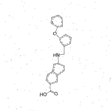 O=C(O)c1ccc2cc(NCc3cccc(Oc4ccccc4)c3)ccc2c1